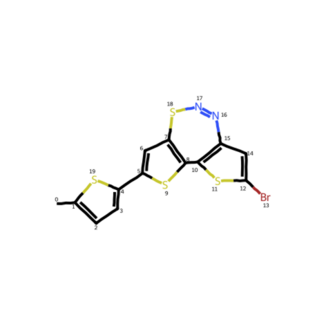 Cc1ccc(-c2cc3c(s2)-c2sc(Br)cc2N=NS3)s1